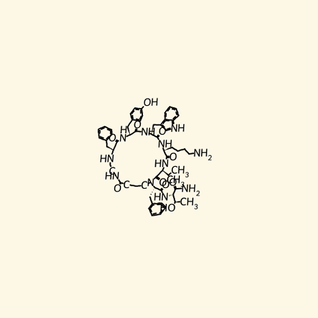 CC(C)[C@@H]1NC(=O)[C@H](CCCCN)NC(=O)[C@H](Cc2c[nH]c3ccccc23)NC(=O)[C@H](Cc2ccc(O)cc2)NC(=O)[C@H](Cc2ccccc2)NCCNC(=O)CCCN([C@@H](Cc2ccccc2)C(=O)N[C@H](C(N)=O)[C@@H](C)O)C1=O